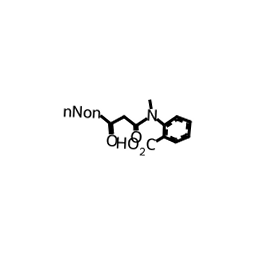 CCCCCCCCCC(=O)CC(=O)N(C)c1ccccc1C(=O)O